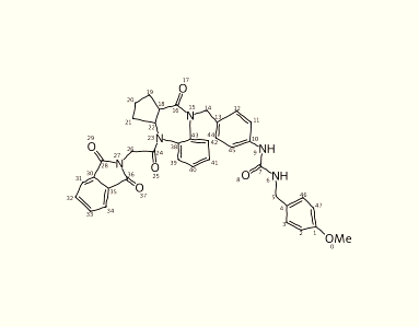 COc1ccc(CNC(=O)Nc2ccc(CN3C(=O)C4CCCC4N(C(=O)CN4C(=O)c5ccccc5C4=O)c4ccccc43)cc2)cc1